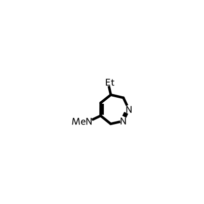 CCC1C=C(NC)CN=NC1